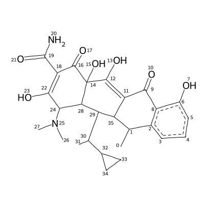 CC1c2cccc(O)c2C(=O)C2=C(O)C3(O)C(=O)C(C(N)=O)=C(O)C(N(C)C)C3C(C(C)C3CC3)C21